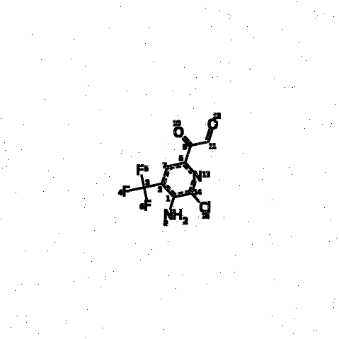 Nc1c(C(F)(F)F)cc(C(=O)C=O)nc1Cl